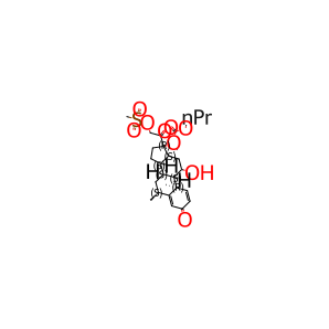 CCCOC(=O)O[C@]1(C(=O)COS(C)(=O)=O)CC[C@H]2[C@@H]3C[C@H](C)C4=CC(=O)C=C[C@]4(C)[C@H]3C(O)C[C@@]21C